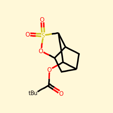 CC(C)(C)C(=O)OC1C2CC3OS(=O)(=O)C1C3C2